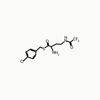 NC(CCNC(=O)C(F)(F)F)C(=O)SCc1ccc(Cl)cc1